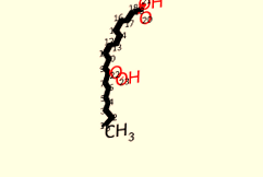 CCCCCCCCC(CC\C=C/C=C\C=C/C=C/C(=O)O)OO